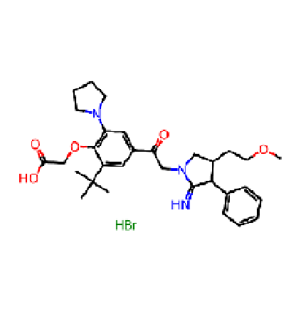 Br.COCCC1CN(CC(=O)c2cc(N3CCCC3)c(OCC(=O)O)c(C(C)(C)C)c2)C(=N)C1c1ccccc1